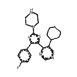 Fc1ccc(-c2nc(N3CCNCC3)sc2-c2n[c]ncc2C2CCCCC2)cc1